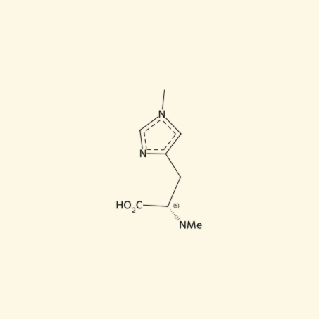 CN[C@@H](Cc1cn(C)cn1)C(=O)O